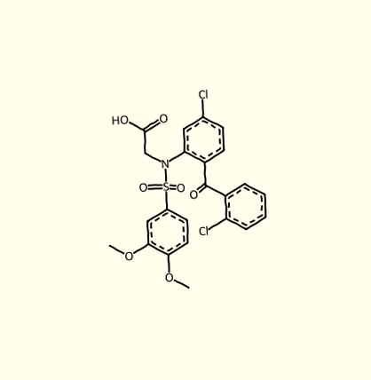 COc1ccc(S(=O)(=O)N(CC(=O)O)c2cc(Cl)ccc2C(=O)c2ccccc2Cl)cc1OC